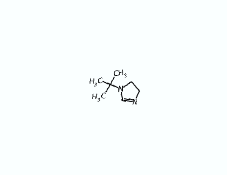 CC(C)(C)N1C=NCC1